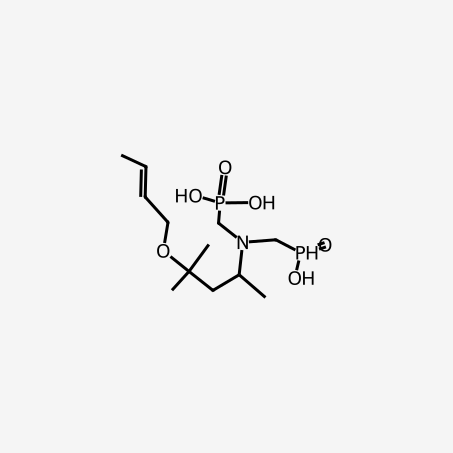 CC=CCOC(C)(C)CC(C)N(C[PH](=O)O)CP(=O)(O)O